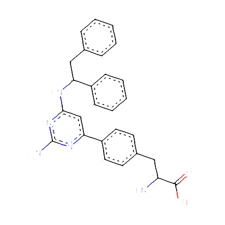 Nc1nc(NC(Cc2ccccc2)c2ccccc2)cc(-c2ccc(CC(N)C(=O)O)cc2)n1